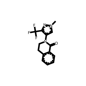 Cn1cc(N2CCc3ccccc3C2=O)c(C(F)(F)F)n1